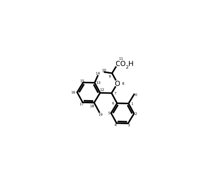 Cc1ccccc1C(OC(C)C(=O)O)c1c(C)cccc1C